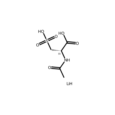 CC(=O)N[C@H](CS(=O)(=O)O)C(=O)O.[LiH]